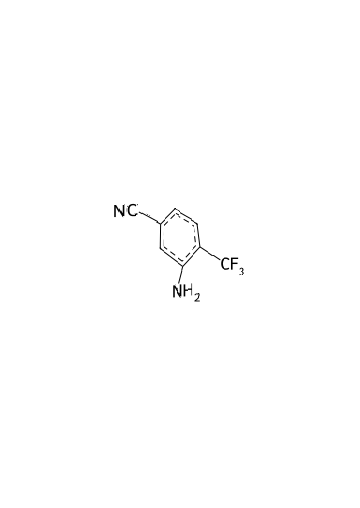 N#Cc1ccc(C(F)(F)F)c(N)c1